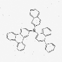 c1ccc(-c2ccc(N(c3ccc4ccccc4c3)c3ccc4c5ccccc5c5ccccc5c4c3)c3ccccc23)cc1